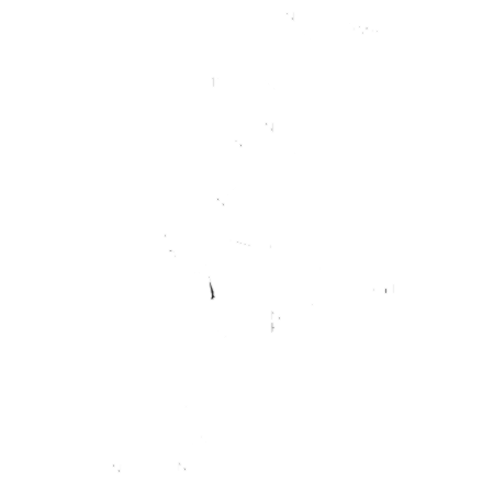 COc1cc(-n2ccc(N3CCO[C@H](C(O)(CNC(=O)c4ccccc4O)Cc4ccc5c(N)noc5c4)C3=O)n2)c(F)cn1